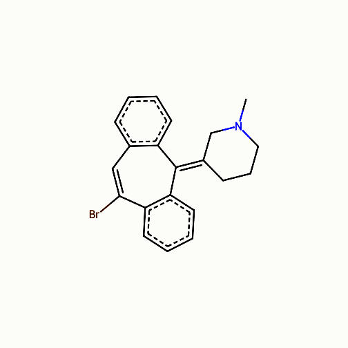 CN1CCCC(=C2c3ccccc3C=C(Br)c3ccccc32)C1